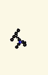 CC1(C)c2ccccc2-c2cc(N(c3ccc(CCC4Cc5cc(-c6ccccc6)ccc5-c5ccc(-c6ccccc6)cc54)cc3)c3ccc(-c4ccccc4)cc3)ccc21